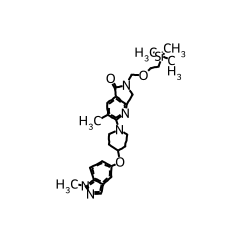 Cc1cc2c(nc1N1CCC(Oc3ccc4c(cnn4C)c3)CC1)CN(COCC[Si](C)(C)C)C2=O